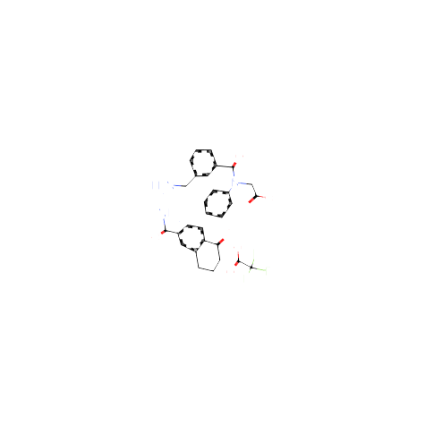 NC(=O)c1ccc2c(c1)CCCC2=O.NCc1cccc(C(=O)N(CC(=O)O)c2ccccc2)c1.O=C(O)C(F)(F)F